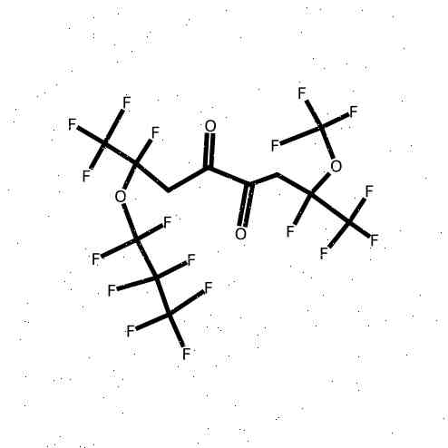 O=C(CC(F)(OC(F)(F)F)C(F)(F)F)C(=O)CC(F)(OC(F)(F)C(F)(F)C(F)(F)F)C(F)(F)F